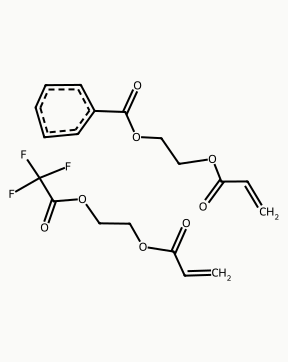 C=CC(=O)OCCOC(=O)C(F)(F)F.C=CC(=O)OCCOC(=O)c1ccccc1